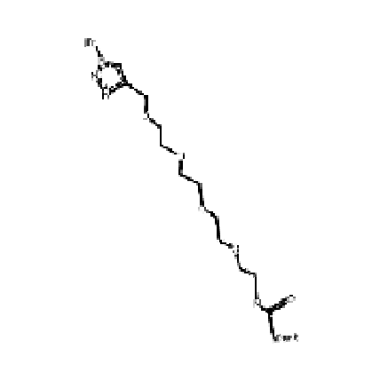 CCCCCC(=O)NCCOCCOCCOCCOCc1cn(C(C)C)nn1